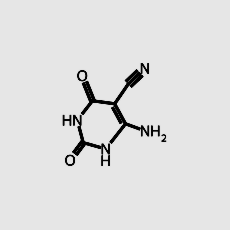 N#Cc1c(N)[nH]c(=O)[nH]c1=O